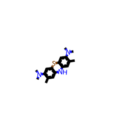 Cc1cc2c(cc1N(C)C)Sc1cc(N(C)C)c(C)cc1N2